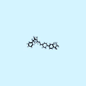 C=C(c1ccc(N2CCC(CCCNC(=C)C(C)(c3ccccc3)C(F)(F)F)CC2)cc1Cl)N(C)C